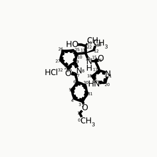 CCOc1ccc(-c2nc3c([C@@](CC)(NC(=O)c4c[nH]cn4)[C@H](C)O)cccc3o2)cc1.Cl